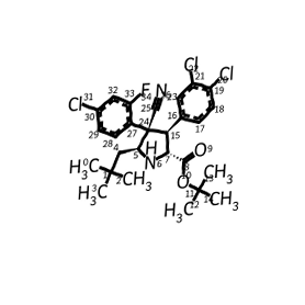 CC(C)(C)C[C@@H]1N[C@@H](C(=O)OC(C)(C)C)[C@H](c2ccc(Cl)c(Cl)c2)[C@@]1(C#N)c1ccc(Cl)cc1F